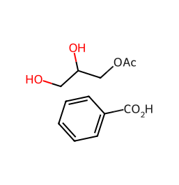 CC(=O)OCC(O)CO.O=C(O)c1ccccc1